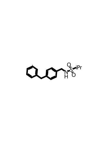 CC(C)S(=O)(=O)NCc1ccc(Cc2c[c]ccc2)cc1